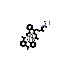 C=CC1=NC(CC(=C)N(C)c2ccccc2Nc2c(C(C)C)cccc2C(C)C)C(CCC(=C)/C=C(\C)S)c2ccccc21